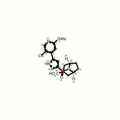 COc1cc(-c2cc(C(=O)N3[C@@H]4CC[C@H]3CC(C(=O)O)C4)n[nH]2)c(Cl)cn1